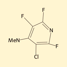 CNc1c(F)c(F)nc(F)c1Cl